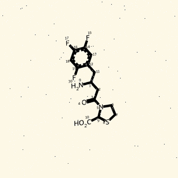 NC(CC(=O)N1CCSC1C(=O)O)Cc1cc(F)c(F)cc1F